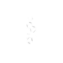 Cc1ccccc1Nc1cccc2cc(S(=O)(=O)O)ccc12